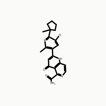 Cc1nc(C2(C)CCCC2)c(Cl)cc1-c1cc(=O)c2c(C(N)=O)nccc2[nH]1